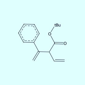 C=CC(C(=C)c1ccccc1)C(=O)OC(C)(C)C